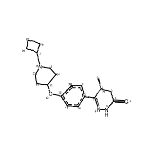 C[C@H]1CC(=O)NN=C1c1ccc(OC2CCN(C3CCC3)CC2)cc1